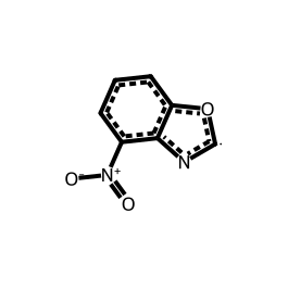 O=[N+]([O-])c1cccc2o[c]nc12